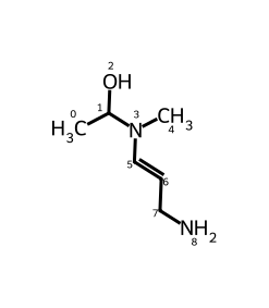 CC(O)N(C)C=CCN